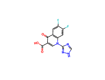 O=C(O)c1cn(-c2nc[nH]n2)c2cc(F)c(F)cc2c1=O